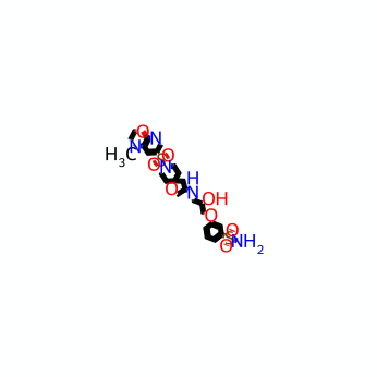 CN1CCOc2ncc(S(=O)(=O)N3CCC4(CC3)CC(NCC(O)COc3cccc(S(N)(=O)=O)c3)CO4)cc21